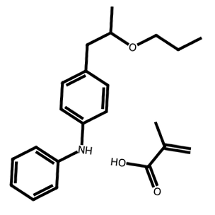 C=C(C)C(=O)O.CCCOC(C)Cc1ccc(Nc2ccccc2)cc1